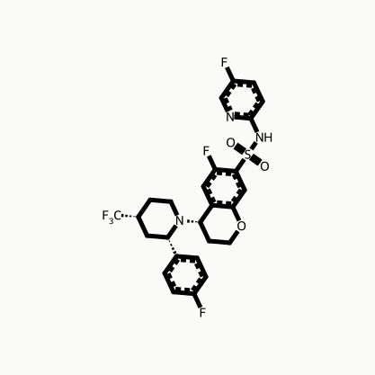 O=S(=O)(Nc1ccc(F)cn1)c1cc2c(cc1F)[C@@H](N1CC[C@@H](C(F)(F)F)C[C@H]1c1ccc(F)cc1)CCO2